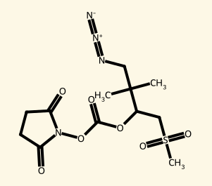 CC(C)(CN=[N+]=[N-])C(CS(C)(=O)=O)OC(=O)ON1C(=O)CCC1=O